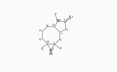 CN1C(=S)CC2CC3(C)BC3(C)CCCC21